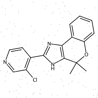 CC1(C)Oc2ccccc2-c2nc(-c3ccncc3Cl)[nH]c21